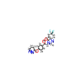 CC1=NC2(CCC(F)(F)CC2)C(=O)N1CC(=O)c1ccc(Oc2cccnn2)cc1